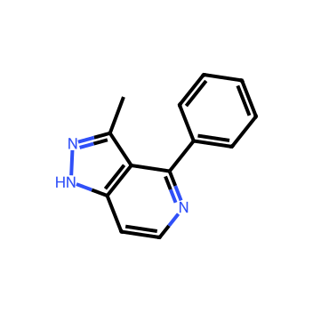 Cc1n[nH]c2ccnc(-c3ccccc3)c12